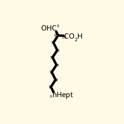 CCCCCCCCCCCCCCC(C=O)C(=O)O